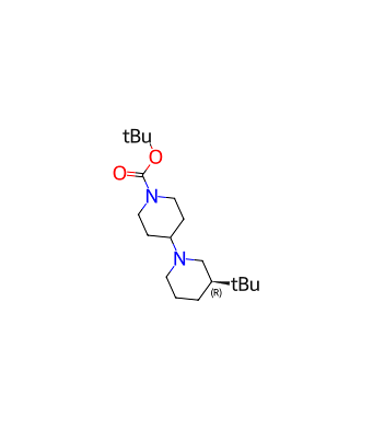 CC(C)(C)OC(=O)N1CCC(N2CCC[C@H](C(C)(C)C)C2)CC1